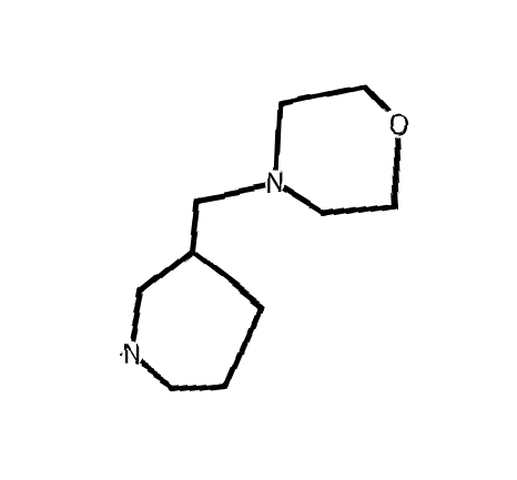 C1C[N]CC(CN2CCOCC2)C1